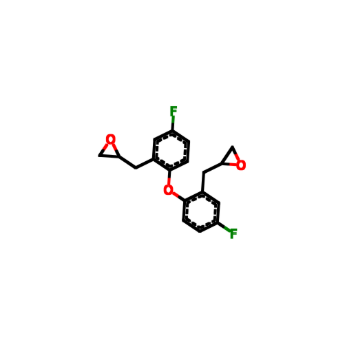 Fc1ccc(Oc2ccc(F)cc2CC2CO2)c(CC2CO2)c1